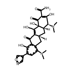 CN(C)c1cc(-c2cnoc2)c(O)c2c1C[C@H]1C[C@H]3[C@H](N(C)C)C(O)=C(C(N)=O)C(=O)[C@@]3(O)C(O)=C1C2=O